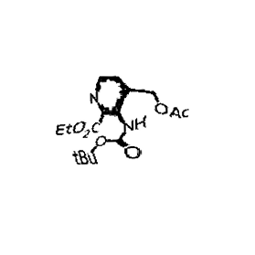 CCOC(=O)c1nccc(COC(C)=O)c1NC(=O)OC(C)(C)C